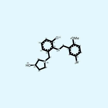 COc1ccc(Br)cc1CSc1c(Cl)cccc1CN1CC[C@@H](O)C1